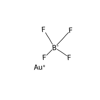 F[B-](F)(F)F.[Au+]